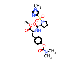 CC(C)OC(=O)[C@H](Cc1ccc(OC(=O)N(C)C)cc1)NC(=O)[C@@H]1CCCN1S(=O)(=O)c1cn(C)cn1